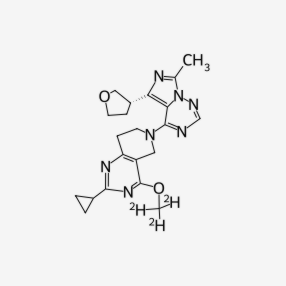 [2H]C([2H])([2H])Oc1nc(C2CC2)nc2c1CN(c1ncnn3c(C)nc([C@@H]4CCOC4)c13)CC2